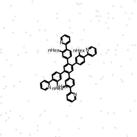 CCCCCCc1cc(-c2cc(-c3ccc(-c4ccccn4)c(CCCCCC)c3)c(-c3ccc(-c4ccccn4)c(CCCCCC)c3)cc2-c2ccc(-c3ccccn3)c(CCCCCC)c2)ccc1-c1ccccn1